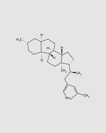 Cc1cncc(C[C@H](C)[C@H]2CC[C@H]3[C@@H]4CC[C@@H]5C[C@@H](C)CC[C@@H]5[C@H]4CC[C@]23C)c1